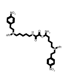 CCCN(CCCCCNC(=O)C(=O)OC(N)CCCCN(CCC)CCc1ccc([N+](=O)[O-])cc1)CCc1ccc([N+](=O)[O-])cc1